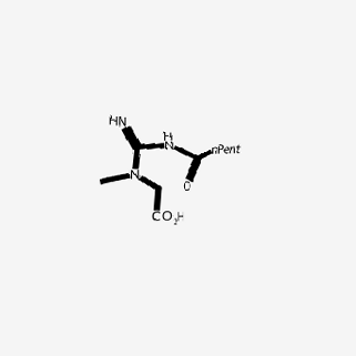 CCCCCC(=O)NC(=N)N(C)CC(=O)O